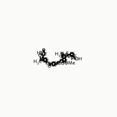 COc1cc2c(NC(C)c3cccc(C(F)(F)CO)c3)nc(C)nc2c(CCCCN2CCN(C(=O)COc3ccc4c(C5CCC(=O)NC5=O)nn(C)c4c3)CC2)c1OC